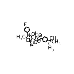 CC(C)N(C(=O)C(CC1CC1)C(=O)NS(=O)(=O)c1ccc(C(C)(C)C)cc1)c1ccc(F)cc1